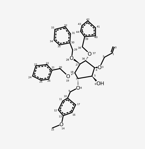 C=CCO[C@H]1[C@@H](O)[C@H](OCc2ccc(OC)cc2)[C@H](OCc2ccccc2)[C@@H](OCc2ccccc2)[C@@H]1OCc1ccccc1